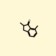 Cc1cccc2c1C(=O)C(C)C2